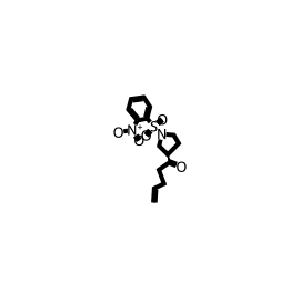 C=CCCC(=O)[C@@H]1CCN(S(=O)(=O)c2ccccc2[N+](=O)[O-])C1